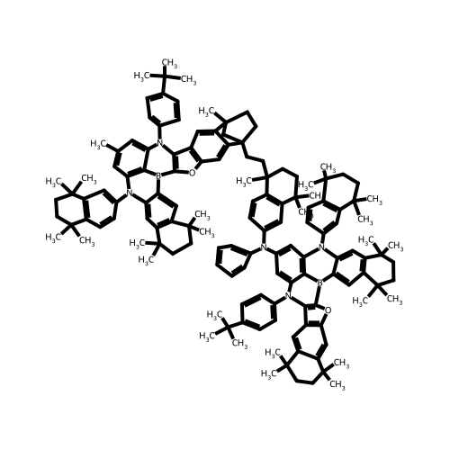 Cc1cc2c3c(c1)N(c1ccc(C(C)(C)C)cc1)c1c(oc4cc5c(cc14)C1(C)CCC5(CCC4(C)CCC(C)(C)c5cc(N(c6ccccc6)c6cc7c8c(c6)N(c6ccc(C(C)(C)C)cc6)c6c(oc9cc%10c(cc69)C(C)(C)CCC%10(C)C)B8c6cc8c(cc6N7c6ccc7c(c6)C(C)(C)CCC7(C)C)C(C)(C)CCC8(C)C)ccc54)C1)B3c1cc3c(cc1N2c1ccc2c(c1)C(C)(C)CCC2(C)C)C(C)(C)CCC3(C)C